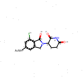 CC(=O)Nc1cc(F)c2c(c1)CN(C1CCC(=O)NC1=O)C2=O